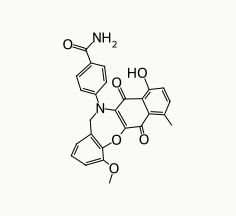 COc1cccc2c1OC1=C(C(=O)c3c(O)ccc(C)c3C1=O)N(c1ccc(C(N)=O)cc1)C2